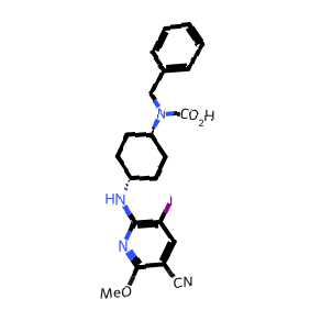 COc1nc(N[C@H]2CC[C@H](N(Cc3ccccc3)C(=O)O)CC2)c(I)cc1C#N